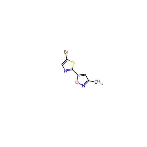 Cc1cc(-c2ncc(Br)s2)on1